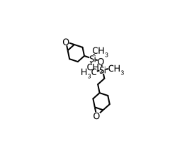 C[Si](C)(CCC1CCC2OC2C1)O[Si](C)(C)C1CCC2OC2C1